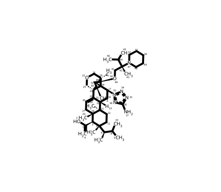 C=C(O)[C@@H]1[C@@](C)([C@H](C)C(C)C)CC[C@]2(C)[C@H]3CC[C@H]4[C@]5(C)COC[C@]4(C3=CC[C@@]12C)[C@H](C)[C@@H](n1nnc(N)n1)[C@@H]5OC[C@](C)(C(C)C)N1CCCCC1